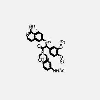 CCOc1ccc(C(Nc2ccc3c(N)nccc3c2)C(=O)N(CC(=O)O)Cc2cccc(NC(C)=O)c2)cc1OC(C)C